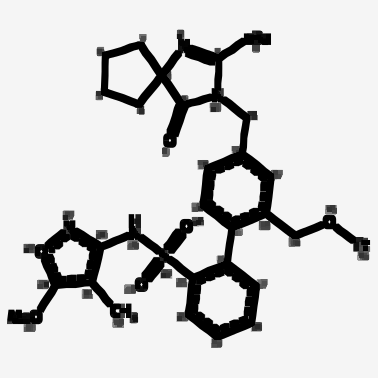 CCCCC1=NC2(CCCC2)C(=O)N1Cc1ccc(-c2ccccc2S(=O)(=O)Nc2noc(OC)c2C)c(COCC)c1